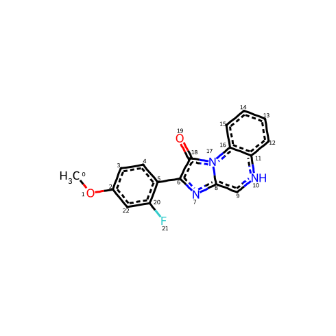 COc1ccc(-c2nc3c[nH]c4ccccc4n-3c2=O)c(F)c1